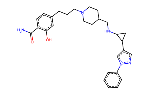 NC(=O)c1ccc(CCCN2CCC(CNC3CC3c3cnn(-c4ccccc4)c3)CC2)cc1O